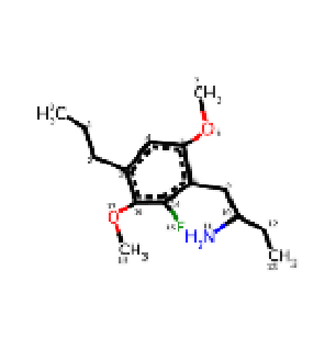 CCCc1cc(OC)c(CC(N)CC)c(F)c1OC